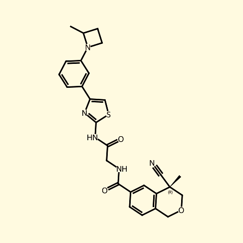 CC1CCN1c1cccc(-c2csc(NC(=O)CNC(=O)c3ccc4c(c3)[C@](C)(C#N)COC4)n2)c1